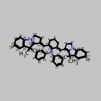 CC1(C)C2=C(C=C3CCCC(C=C4CC[N+]5=C4C(C)(C)c4cc(F)ccc45)=C3N(c3ccccc3)c3ccccc3)CCN2c2ccc(F)cc21